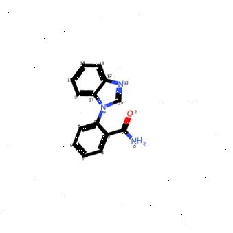 NC(=O)c1ccccc1-n1cnc2ccccc21